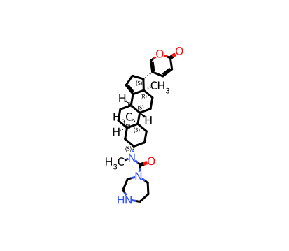 CN(C(=O)N1CCCNCC1)[C@H]1CC[C@@]2(C)[C@H](CC[C@H]3C4=CC[C@H](c5ccc(=O)oc5)[C@@]4(C)CC[C@@H]32)C1